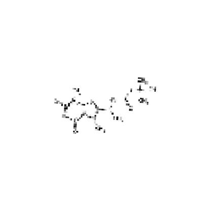 CC(NC(=O)OC(C)(C)C)c1nc2c(c(=O)[nH]c(=O)n2C)n1C